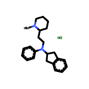 CCCCN1CCCCC1CCN(c1ccccc1)C1Cc2ccccc2C1.Cl